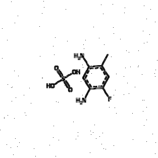 Cc1cc(F)c(N)cc1N.O=S(=O)(O)O